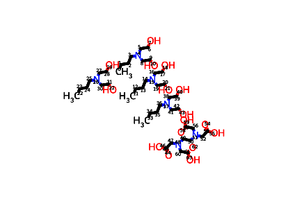 CCCCN(CCO)CCO.CCCCN(CCO)CCO.CCCCN(CCO)CCO.CCCCN(CCO)CCO.O=C(O)CN(CCN(CC(=O)O)CC(=O)O)CC(=O)O